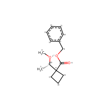 CO[C@@H](C)C1(C(=O)OCc2ccccc2)CCC1